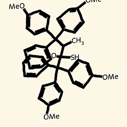 COc1ccc(C(c2ccccc2)(c2ccc(OC)cc2)C(C)C(O)(S)C(c2ccccc2)(c2ccc(OC)cc2)c2ccc(OC)cc2)cc1